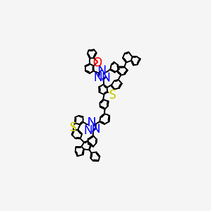 c1ccc(-c2nc(-c3cccc(-c4ccc(-c5ccc(-c6nc(-c7ccccc7)nc(-c7cccc8c7oc7ccccc78)n6)c6c5sc5ccc(-c7ccc(-c8cccc9ccccc89)cc7)cc56)cc4)c3)nc(-c3cccc4sc5ccc(-c6ccc(-c7ccccc7)c7ccccc67)cc5c34)n2)cc1